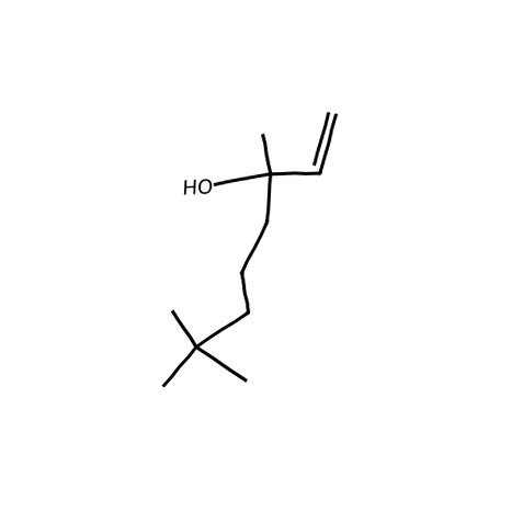 C=CC(C)(O)CCCC(C)(C)C